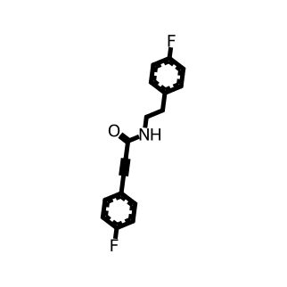 O=C(C#Cc1ccc(F)cc1)NCCc1ccc(F)cc1